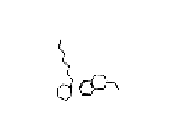 CCCCCCCC1(c2ccc3c(c2)CCC(CC)C3)CCCCC1